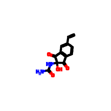 C=Cc1ccc2c(c1)C(=O)C(O)(NC(N)=O)C2=O